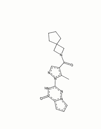 Cc1c(C(=O)N2CC3(CCCC3)C2)cnn1-c1nn2cccc2c(=O)[nH]1